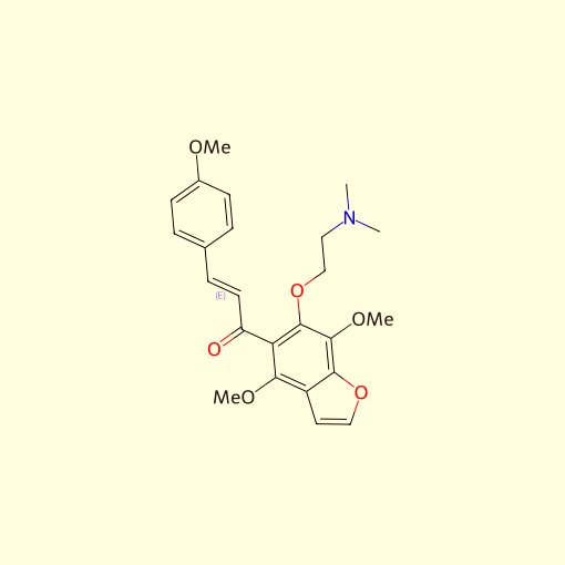 COc1ccc(/C=C/C(=O)c2c(OCCN(C)C)c(OC)c3occc3c2OC)cc1